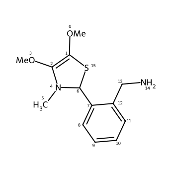 COC1=C(OC)N(C)C(c2ccccc2CN)S1